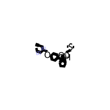 C#C/C=C(\C=C/C)COc1ccc(C2(O)CC3CCC2C3C(=O)OCCS(C)(C)C)cc1